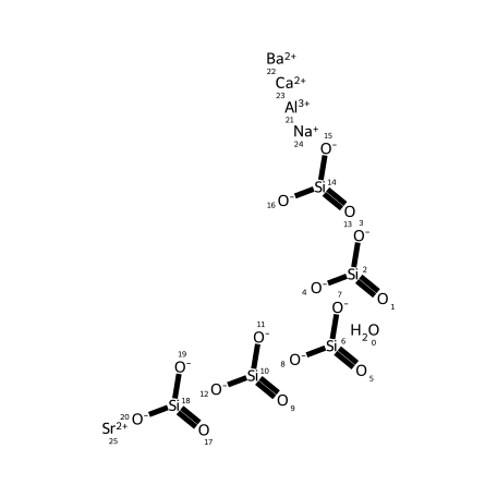 O.O=[Si]([O-])[O-].O=[Si]([O-])[O-].O=[Si]([O-])[O-].O=[Si]([O-])[O-].O=[Si]([O-])[O-].[Al+3].[Ba+2].[Ca+2].[Na+].[Sr+2]